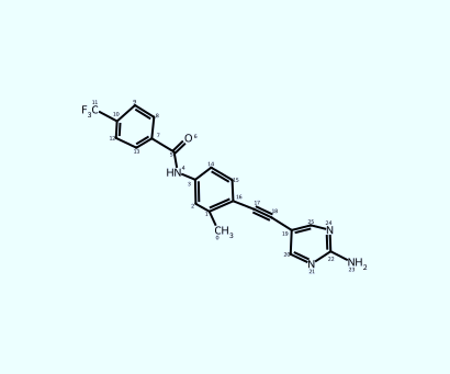 Cc1cc(NC(=O)c2ccc(C(F)(F)F)cc2)ccc1C#Cc1cnc(N)nc1